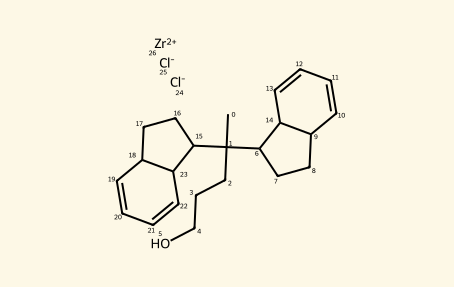 CC(CCCO)(C1CCC2C=CC=CC21)C1CCC2C=CC=CC21.[Cl-].[Cl-].[Zr+2]